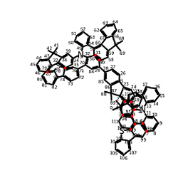 CC1(C)C2=C(C(c3ccccc3N(c3ccccc3-c3ccc4c(c3)-c3ccc(-c5ccc(N(c6ccc7c(c6)C(C)(C)c6ccccc6-7)c6ccccc6-c6cccc7c6-c6ccccc6C7(C)C)c(-c6ccc7c(c6)sc6ccccc67)c5)cc3C4(C)C)c3ccccc3-c3cccc4c3sc3ccccc34)=CCC2)c2ccccc21